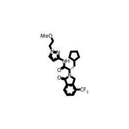 COCCn1ccc(NC(=O)[C@H](CC2CCCC2)N2Cc3c(cccc3C(F)(F)F)C2=O)n1